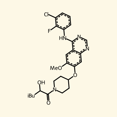 CCC(C)C(O)C(=O)N1CCC(Oc2cc3ncnc(Nc4cccc(Cl)c4F)c3cc2OC)CC1